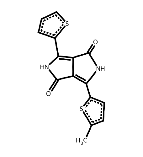 Cc1ccc(C2=C3C(=O)NC(c4cccs4)=C3C(=O)N2)s1